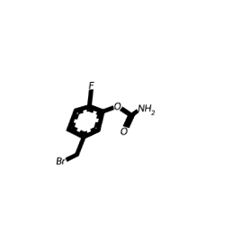 NC(=O)Oc1cc(CBr)ccc1F